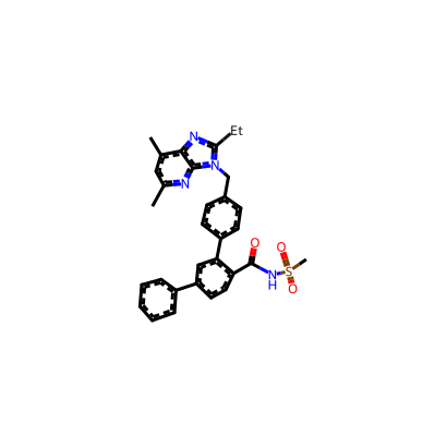 CCc1nc2c(C)cc(C)nc2n1Cc1ccc(-c2cc(-c3ccccc3)ccc2C(=O)NS(C)(=O)=O)cc1